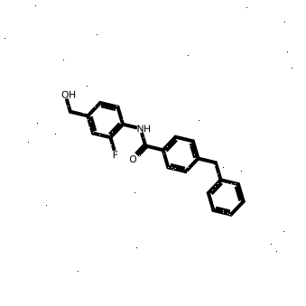 O=C(Nc1ccc(CO)cc1F)c1ccc(Cc2ccccc2)cc1